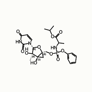 CC(C)OC(=O)C(C)NP(=O)(OC[C@]12C[C@]1(O)[C@@](C)(O)[C@H](n1ccc(=O)[nH]c1=O)O2)Oc1ccccc1